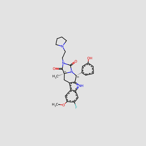 COc1cc2c3c([nH]c2cc1F)[C@@H](c1cccc(O)c1)N1C(=O)N(CCN2CCCC2)C(=O)[C@]1(C)C3